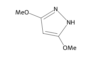 COc1cc(OC)[nH]n1